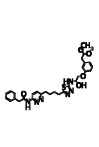 COC(=O)Cc1cccc(OCC(O)Nc2nnc(CCCCc3ccc(NC(=O)Cc4ccccc4)nn3)s2)c1